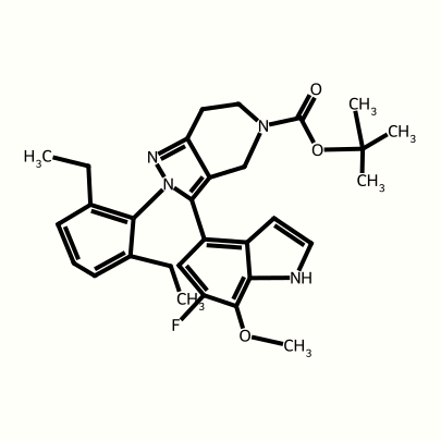 CCc1cccc(CC)c1-n1nc2c(c1-c1cc(F)c(OC)c3[nH]ccc13)CN(C(=O)OC(C)(C)C)CC2